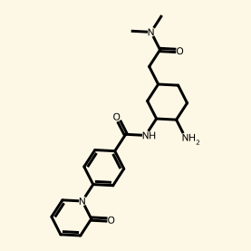 CN(C)C(=O)CC1CCC(N)C(NC(=O)c2ccc(-n3ccccc3=O)cc2)C1